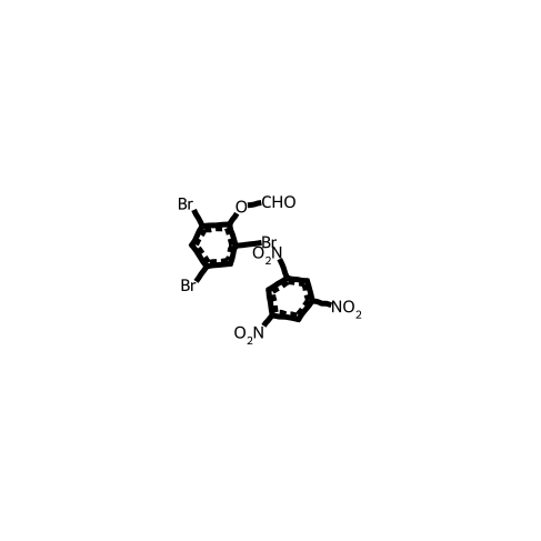 O=COc1c(Br)cc(Br)cc1Br.O=[N+]([O-])c1cc([N+](=O)[O-])cc([N+](=O)[O-])c1